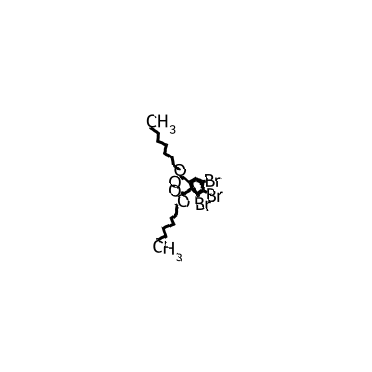 CCCCCCCCOC(=O)c1cc(Br)c(Br)c(Br)c1C(=O)OCCCCCCCC